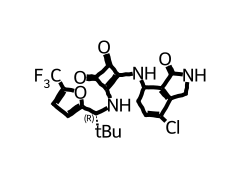 CC(C)(C)[C@@H](Nc1c(NC2CC=C(Cl)C3=C2C(=O)NC3)c(=O)c1=O)c1ccc(C(F)(F)F)o1